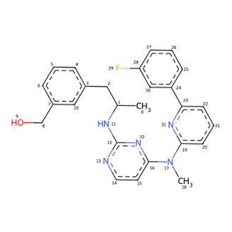 CC(Cc1cccc(CO)c1)Nc1nccc(N(C)c2cccc(-c3cccc(F)c3)n2)n1